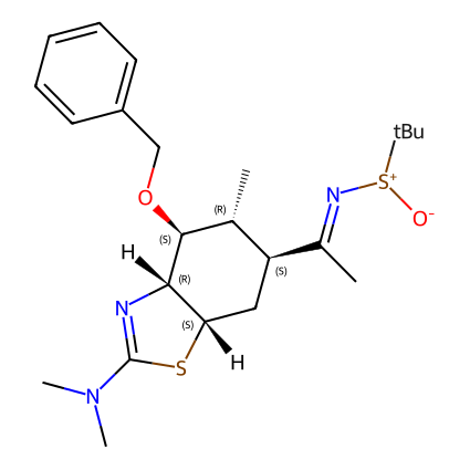 CC(=N[S+]([O-])C(C)(C)C)[C@H]1C[C@@H]2SC(N(C)C)=N[C@@H]2[C@@H](OCc2ccccc2)[C@@H]1C